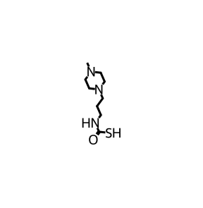 CN1CCN(CCCNC(=O)S)CC1